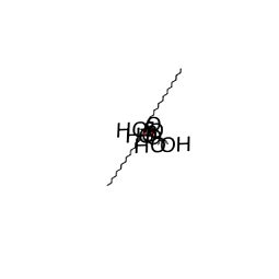 CCCCCCCCCCCCCCCC(=O)CC(O)(SP(=O)(O)OC[C@H](O)CO)C(=O)CCCCCCCCCCCCCCC